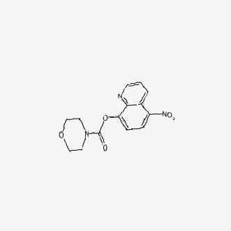 O=C(Oc1ccc([N+](=O)[O-])c2cccnc12)N1CCOCC1